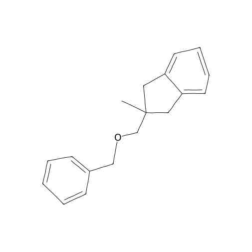 CC1(COCc2ccccc2)Cc2ccccc2C1